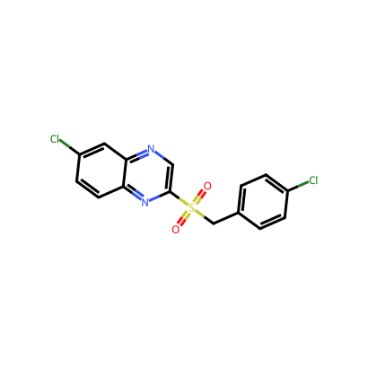 O=S(=O)(Cc1ccc(Cl)cc1)c1cnc2cc(Cl)ccc2n1